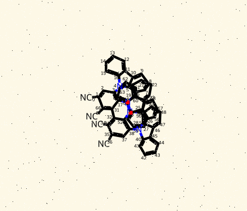 N#Cc1cc(-n2c3ccccc3c3ccccc32)c(-n2c3ccccc3c3ccccc32)c(-c2c(C#N)c(C#N)cc(-n3c4ccccc4c4ccccc43)c2-n2c3ccccc3c3ccccc32)c1C#N